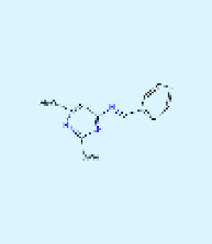 COc1cc(N=Cc2ccccc2)nc(OC)n1